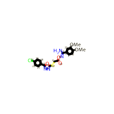 COc1ccc(/C(N)=N/OC(=O)CSc2nnc(-c3ccc(Cl)cc3)o2)cc1OC